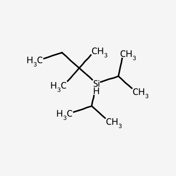 CCC(C)(C)[SiH](C(C)C)C(C)C